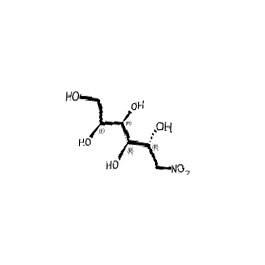 O=[N+]([O-])C[C@@H](O)[C@@H](O)[C@H](O)[C@@H](O)CO